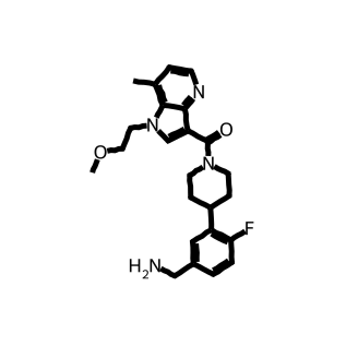 COCCn1cc(C(=O)N2CCC(c3cc(CN)ccc3F)CC2)c2nccc(C)c21